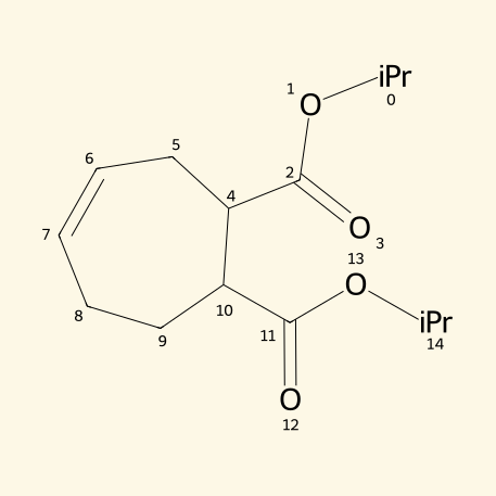 CC(C)OC(=O)C1CC=CCCC1C(=O)OC(C)C